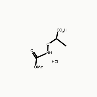 COC(=O)NOC(C)C(=O)O.Cl